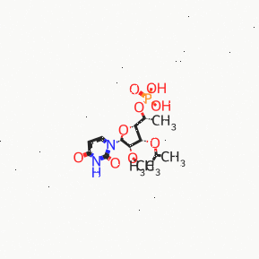 CO[C@H]1[C@@H](OC(C)C)[C@@H]([C@@H](C)OP(=O)(O)O)O[C@H]1n1ccc(=O)[nH]c1=O